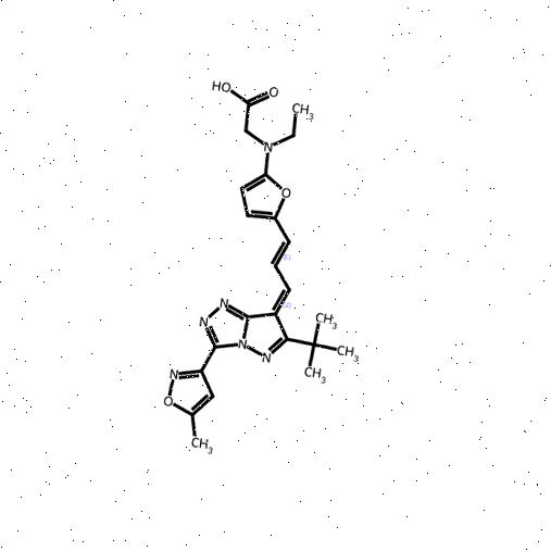 CCN(CC(=O)O)c1ccc(/C=C/C=c2/c(C(C)(C)C)nn3c(-c4cc(C)on4)nnc23)o1